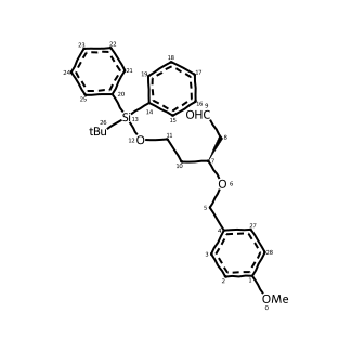 COc1ccc(CO[C@H](CC=O)CCO[Si](c2ccccc2)(c2ccccc2)C(C)(C)C)cc1